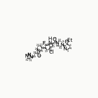 CCOc1cccnc1N1CCN(C(=O)c2cc3c(Cl)cc(C4=CCCN(C(=O)CCn5ccnn5)C4)c(F)c3[nH]2)CC1